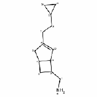 NCC1CC2CC(CCC3CC3)=CC12